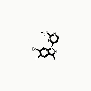 Cc1nn(-c2ccnc(N)n2)c2cc(Br)c(F)cc12